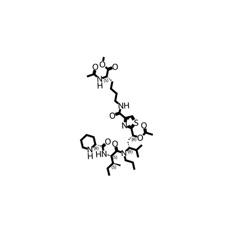 CCCN(C(=O)[C@@H](NC(=O)[C@H]1CCCCN1)[C@@H](C)CC)[C@H](C[C@@H](OC(C)=O)c1nc(C(=O)NCCCC[C@H](NC(C)=O)C(=O)OC)cs1)C(C)C